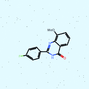 COc1cccc2c(=O)[nH]c(-c3ccc(F)cc3)nc12